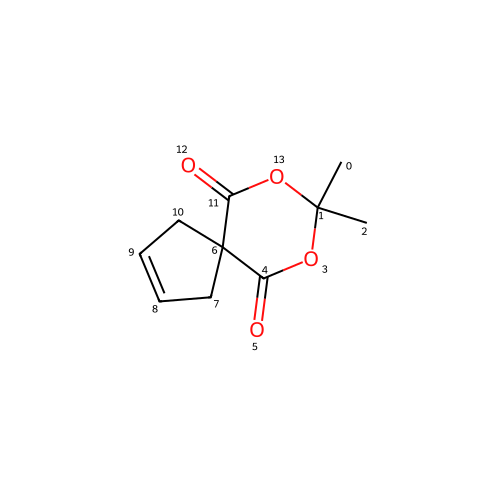 CC1(C)OC(=O)C2(CC=CC2)C(=O)O1